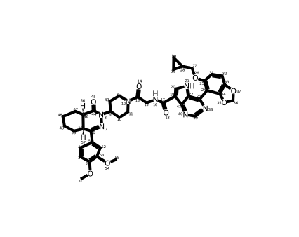 COc1ccc(C2=NN(C3CCN(C(=O)CNC(=O)c4c[nH]c5c(-c6c(OCC7CC7)ccc7c6OCO7)ncnc45)CC3)C(=O)[C@@H]3CCCC[C@H]23)cc1OC